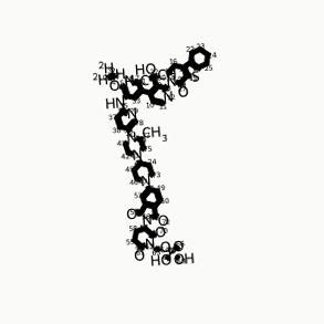 [2H]C([2H])([2H])Oc1ncc(-c2ccnc(N3CCc4c(sc5c4CCCC5)C3=O)c2C(C)(C)O)cc1Nc1ccc(N2CCN(C3CCN(c4ccc5c(c4)C(=O)N([C@H]4CCC(=O)N(COP(=O)(O)O)C4=O)C5=O)CC3)C[C@@H]2C)cn1